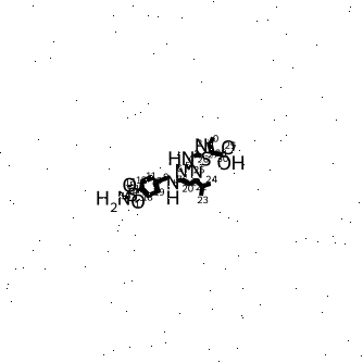 Cc1nc(Nc2nc(NCc3ccc(S(N)(=O)=O)cc3)cc(C(C)C)n2)sc1C(=O)O